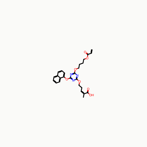 C=CC(=O)OCCCCOc1nc(OCCC=C(C)C(=O)O)nc(Oc2cccc3ccccc23)n1